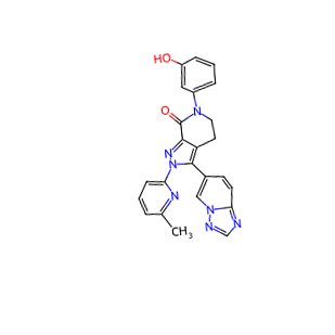 Cc1cccc(-n2nc3c(c2-c2ccc4ncnn4c2)CCN(c2cccc(O)c2)C3=O)n1